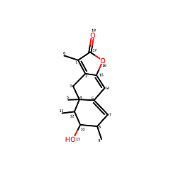 CC1=C2CC3(C)C(=CC(C)C(O)C3C)C=C2OC1=O